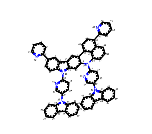 c1ccc(-c2ccc3c(c2)c2cc4c(cc2n3-c2ccc(-n3c5ccccc5c5ccccc53)cn2)N(c2ccc(-n3c5ccccc5c5ccccc53)cn2)c2cccc3c(-c5ccccn5)ccc-4c23)nc1